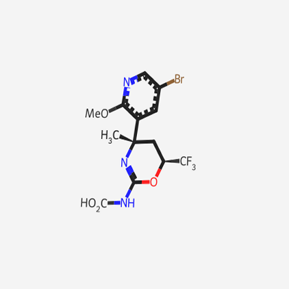 COc1ncc(Br)cc1[C@]1(C)C[C@@H](C(F)(F)F)OC(NC(=O)O)=N1